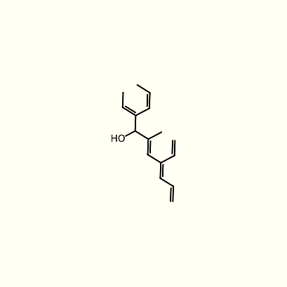 C=C/C=C(C=C)/C=C(\C)C(O)C(/C=C\C)=C/C